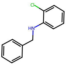 Clc1ccccc1NCc1ccccc1